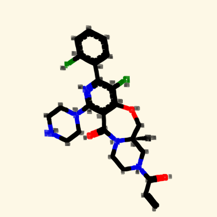 C=CC(=O)N1CCN2C(=O)c3c(N4CCNCC4)nc(-c4ccccc4F)c(Cl)c3OC[C@H]2C1